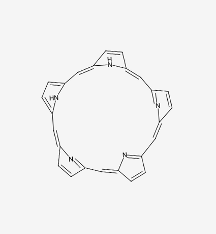 C1=Cc2cc3nc(cc4ccc(cc5ccc(cc6nc(cc1n2)C=C6)[nH]5)[nH]4)C=C3